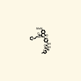 CNc1ccc2c(=O)n(-c3ccc(NC(=O)NS(=O)(=O)c4ccc(C)s4)cn3)cc(C(=O)NCCN3CCCC3)c2c1